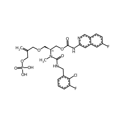 C=C(COC[C@@H](COC(=O)Nc1cc2cc(F)ccc2cn1)N(C)C(=O)NCc1cccc(F)c1Cl)COP(=O)(O)O